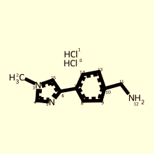 Cl.Cl.Cn1cnc(-c2ccc(CN)cc2)c1